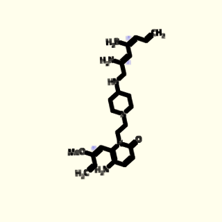 BC(=C/C=C)/C=C(\N)CNC1CCN(CCn2c(/C=C(\C=C)OC)c(N)ccc2=O)CC1